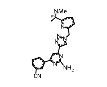 CN[C@H](C)c1cccc(Cn2cc(-c3cc(-c4cccc(C#N)c4)nc(N)n3)nn2)n1